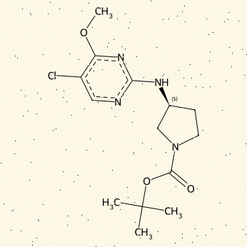 COc1nc(N[C@H]2CCN(C(=O)OC(C)(C)C)C2)ncc1Cl